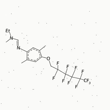 CCN(C)/C=N/c1cc(C)c(OCC(F)(F)C(F)(F)C(F)(F)C(F)(F)C(F)(F)F)cc1C